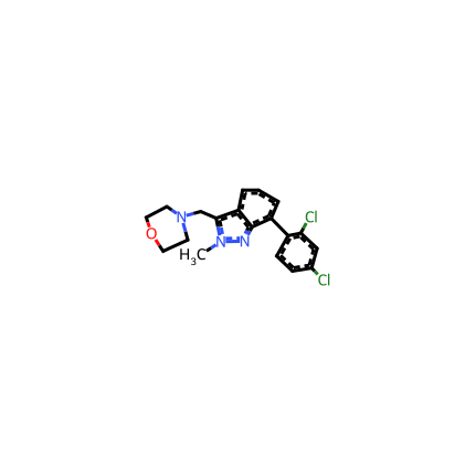 Cn1nc2c(-c3ccc(Cl)cc3Cl)cccc2c1CN1CCOCC1